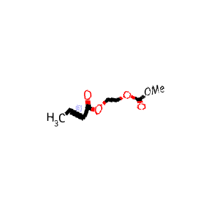 C/C=C/C(=O)OCCOC(=O)OC